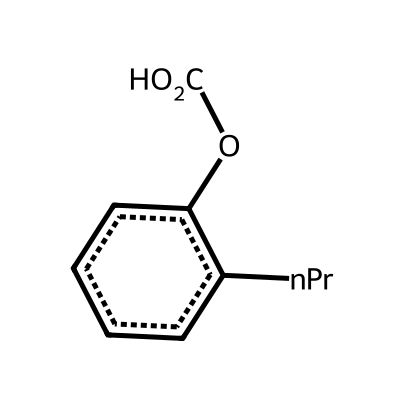 CCCc1ccccc1OC(=O)O